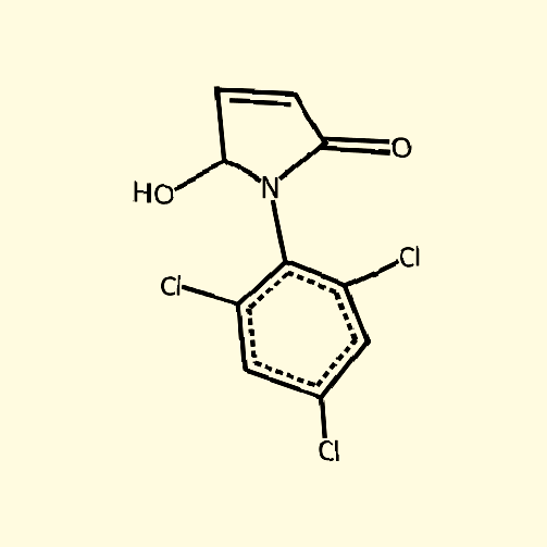 O=C1C=CC(O)N1c1c(Cl)cc(Cl)cc1Cl